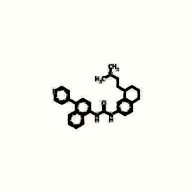 CN(C)CCC1CCCc2ccc(NC(=O)Nc3ccc(-c4ccncc4)c4ccccc34)cc21